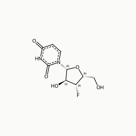 O=c1ccn([C@@H]2O[C@H](CO)[C@H](F)[C@H]2O)c(=O)[nH]1